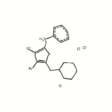 CC(C)C1=C(CC2CCCCC2)CC([SiH2]c2ccccc2)=[C]1[Ti+3].[Cl-].[Cl-].[Cl-]